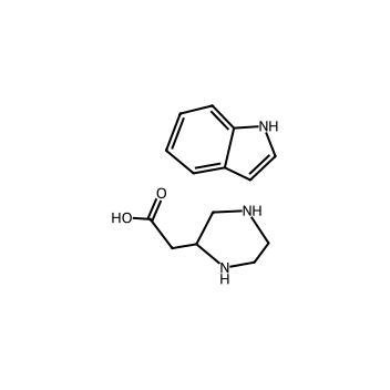 O=C(O)CC1CNCCN1.c1ccc2[nH]ccc2c1